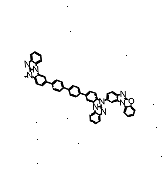 Cn1c2ccc(-c3ccc(-c4ccc(-c5ccc6c(c5)n5c7ccccc7nc5n6-c5ccc6nc7oc8ccccc8n7c6c5)cc4)cc3)cc2n2c3ccccc3nc12